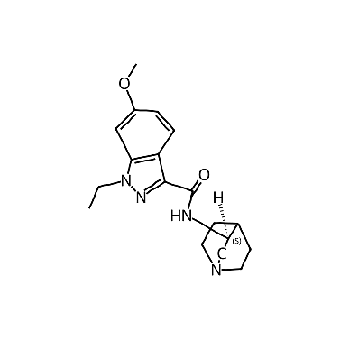 CCn1nc(C(=O)N[C@@H]2CN3CCC2CC3)c2ccc(OC)cc21